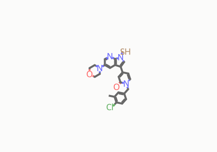 Cc1cc(Cn2ccc(-c3cn(S)c4ncc(N5CCOCC5)cc34)cc2=O)ccc1Cl